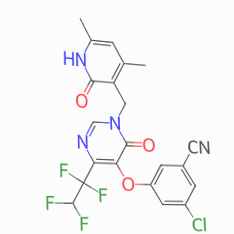 Cc1cc(C)c(Cn2cnc(C(F)(F)C(F)F)c(Oc3cc(Cl)cc(C#N)c3)c2=O)c(=O)[nH]1